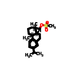 CC(C)c1ccc2c(c1)CC[C@H]1[C@](C)(COS(C)(=O)=O)CCC[C@]21C